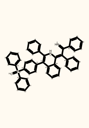 N=C(/C(=C1\NC(c2ccccc2)=C(c2ccc(P(=O)(c3ccccc3)c3ccccc3)cc2)c2ccccc21)c1ccccc1)c1ccccc1